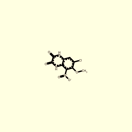 COc1c(Cl)cc2[nH]c(=O)c(=O)[nH]c2c1[N+](=O)[O-]